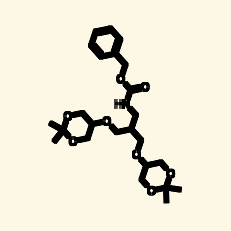 CC1(C)OCC(OCC(CNC(=O)OCc2ccccc2)COC2COC(C)(C)OC2)CO1